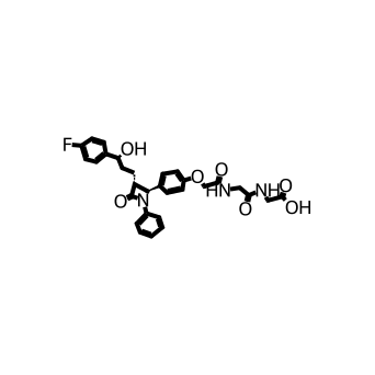 O=C(O)CNC(=O)CNC(=O)COc1ccc([C@@H]2[C@@H](CC[C@H](O)c3ccc(F)cc3)C(=O)N2c2ccccc2)cc1